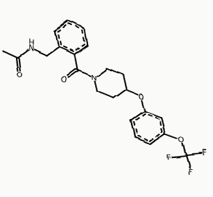 CC(=O)NCc1ccccc1C(=O)N1CCC(Oc2cccc(OC(F)(F)F)c2)CC1